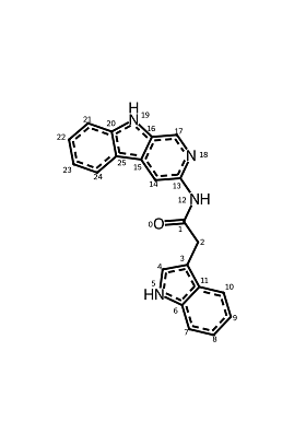 O=C(Cc1c[nH]c2ccccc12)Nc1cc2c(cn1)[nH]c1ccccc12